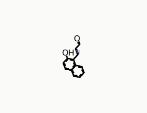 O=C/C=C/c1c(O)ccc2ccccc12